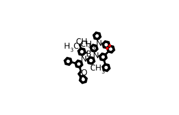 Cc1cc2c3c(c1)N(c1cc(-c4ccccc4)cc(-c4ccccc4)c1)c1cc(N(c4ccccc4)c4ccccc4)ccc1B3c1cc(C(C)(C)C)ccc1N2c1cc(-c2ccccc2)cc(-c2cc3ccccc3o2)c1